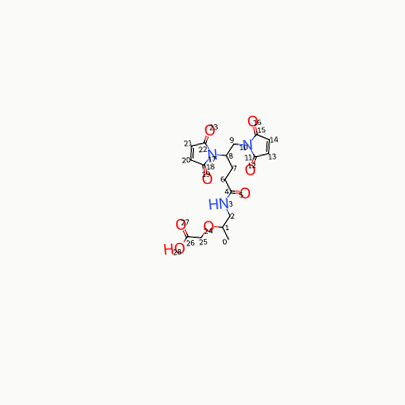 CC(CNC(=O)CCC(CN1C(=O)C=CC1=O)N1C(=O)C=CC1=O)OCC(=O)O